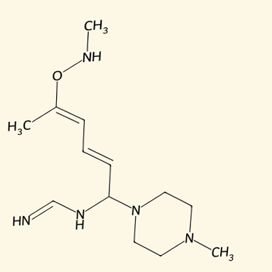 CNO/C(C)=C/C=C/C(NC=N)N1CCN(C)CC1